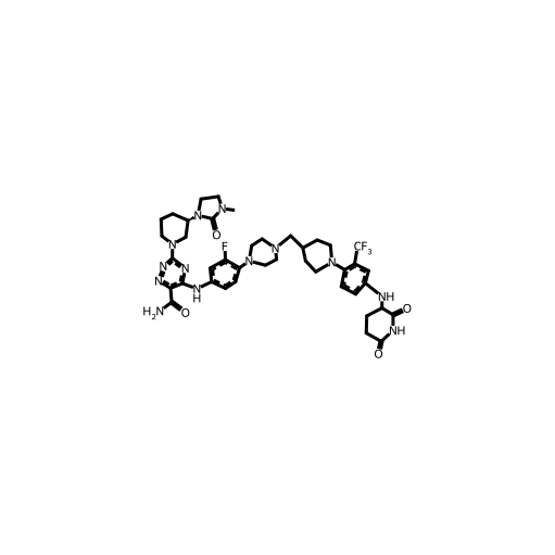 CN1CCN([C@@H]2CCCN(c3nnc(C(N)=O)c(Nc4ccc(N5CCN(CC6CCN(c7ccc(NC8CCC(=O)NC8=O)cc7C(F)(F)F)CC6)CC5)c(F)c4)n3)C2)C1=O